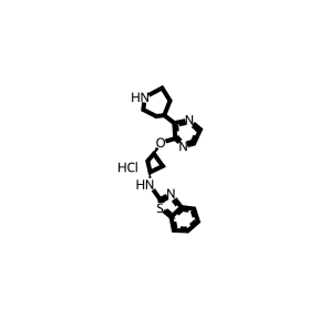 Cl.c1ccc2sc(N[C@H]3C[C@H](Oc4nccnc4C4CCNCC4)C3)nc2c1